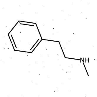 CNC[CH]c1ccccc1